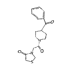 O=C(c1ccccc1)C1CCN(C(=O)CN2CSCC2=O)CC1